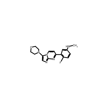 CNc1ccc(F)c(-c2ccn3c(N4CCOCC4)cnc3n2)c1